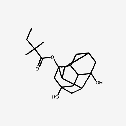 CCC(C)(C)C(=O)OC12CC3(O)CC4C1CC1CC2C(C3)C4(O)C1